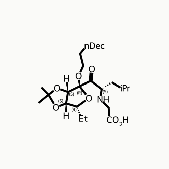 CCCCCCCCCCCCO[C@@]1(C(=O)[C@H](CC(C)C)NCC(=O)O)O[C@H](CC)[C@@H]2OC(C)(C)O[C@@H]21